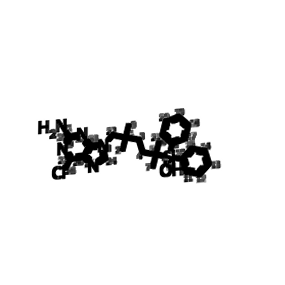 CC(C)(CCC(C)(C)[Si](O)(c1ccccc1)c1ccccc1)Cn1cnc2c(Cl)nc(N)nc21